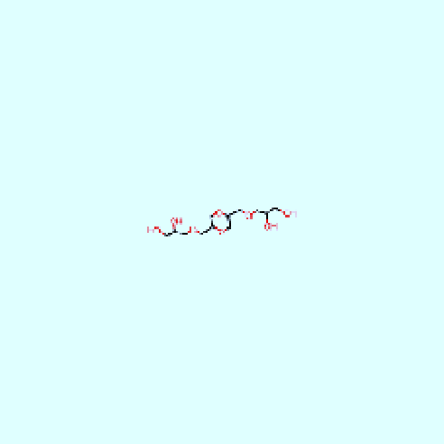 OCC(O)COCC1COC(COCC(O)CO)CO1